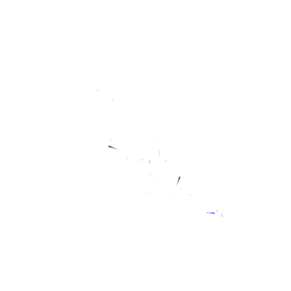 CN(C1CC1)[C@H]1CCC2=CC3=CC[C@]4(C)C(c5ccc6ccccc6c5)CC[C@H]4C34CC[C@]2(C1)O4